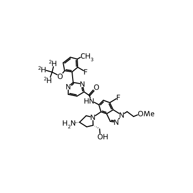 [2H]C([2H])([2H])Oc1ccc(C)c(F)c1-c1nccc(C(=O)Nc2cc(F)c3c(cnn3CCOC)c2N2C[C@@H](N)C[C@H]2CO)n1